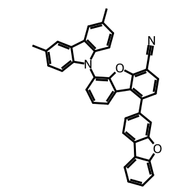 Cc1ccc2c(c1)c1cc(C)ccc1n2-c1cccc2c1oc1c(C#N)ccc(-c3ccc4c(c3)oc3ccccc34)c12